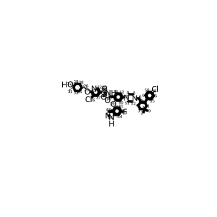 CC1(C)CCC(CN2CCN(c3ccc(C(=O)NS(=O)(=O)c4cnc(OC[C@H]5CC[C@](C)(O)CC5)c(Cl)c4)c(Oc4cc(F)cc5[nH]ncc45)c3)CC2)=C(c2ccc(Cl)cc2)C1